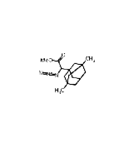 COC(=O)C(N=[N+]=[N-])C12CC3CC(C)(CC(C)(C3)C1)C2